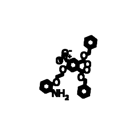 Nc1ccccc1OCCOc1cc(C(=O)OCc2ccccc2)c(C(=O)OCc2ccccc2)cc1[N+](=O)[O-]